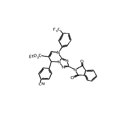 CCOC(=O)C1=CN(c2cccc(C(F)(F)F)c2)c2nc(N3C(=O)c4ccccc4C3=O)nn2C1c1ccc(C#N)cc1